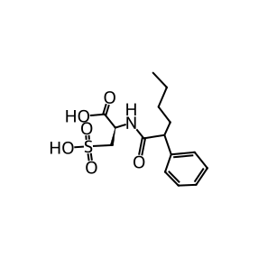 CCCCC(C(=O)N[C@@H](CS(=O)(=O)O)C(=O)O)c1ccccc1